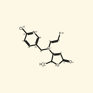 CC1OC(=O)C=C1N(/C=C/F)Cc1ccc(Cl)nc1